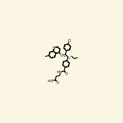 CCC[C@H](c1ccc(C(=O)NCCC(=O)O)cc1)[C@@H](Oc1ccnc2cc(C)ccc12)c1ccc(Cl)cc1